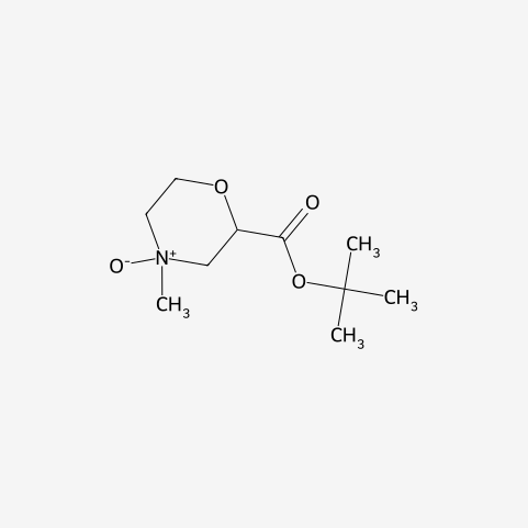 CC(C)(C)OC(=O)C1C[N+](C)([O-])CCO1